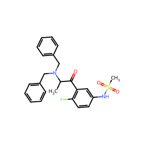 CC(C(=O)c1cc(NS(C)(=O)=O)ccc1F)N(Cc1ccccc1)Cc1ccccc1